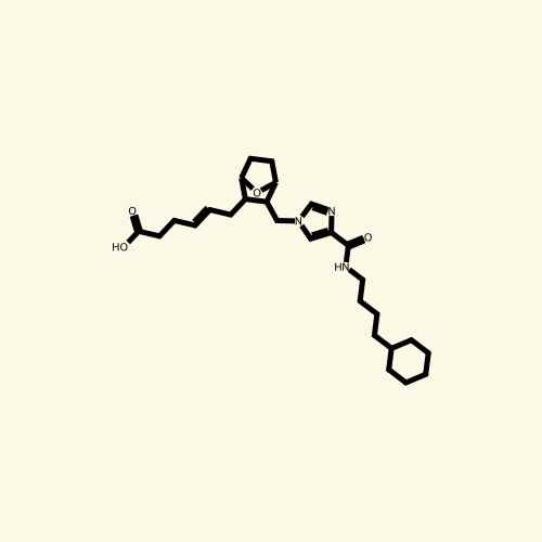 O=C(O)CCC=CCC1C2CCC(O2)C1Cn1cnc(C(=O)NCCCCC2CCCCC2)c1